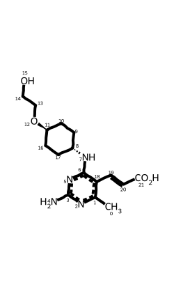 Cc1nc(N)nc(N[C@H]2CC[C@H](OCCO)CC2)c1C=CC(=O)O